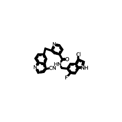 N#Cc1ccnc2ccc(Cc3cc(C(=O)NCc4cc5c(Cl)c[nH]c5cc4F)ccn3)cc12